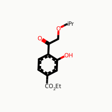 CCOC(=O)c1ccc(C(=O)COC(C)C)c(O)c1